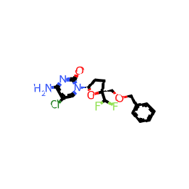 Nc1nc(=O)n([C@H]2CC[C@](COCc3ccccc3)(C(F)F)O2)cc1Cl